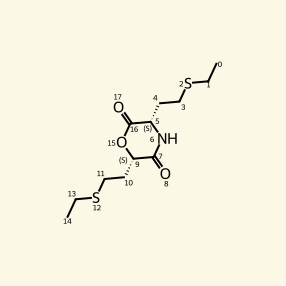 CCSCC[C@@H]1NC(=O)[C@H](CCSCC)OC1=O